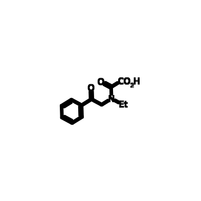 CCN(CC(=O)c1ccccc1)C(=O)C(=O)O